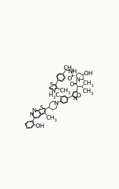 Cc1cc(-c2cc(C(C(=O)N3C[C@H](O)C[C@H]3C(=O)N[C@@H](C)c3ccc(-c4scnc4C)cc3)C(C)C)on2)ccc1N1CCC(c2sc3nnc(-c4ccccc4O)cc3c2C)CC1